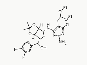 CCOC(Cc1c(Cl)nc(N)nc1N[C@@H]1C[C@H](C(O)c2ccc(F)c(F)c2)[C@H]2OC(C)(C)O[C@H]21)OCC